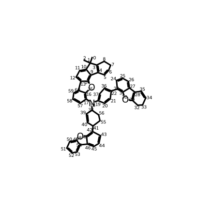 CC1(C)C2=C(C=CCC2)c2c1ccc1c2oc2c(N(c3ccc(-c4cccc5c6c(oc45)CCC=C6)cc3)C3C=CC(c4cccc5c4oc4ccccc45)CC3)cccc21